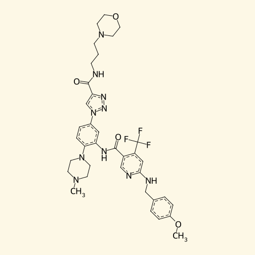 COc1ccc(CNc2cc(C(F)(F)F)c(C(=O)Nc3cc(-n4cc(C(=O)NCCCN5CCOCC5)nn4)ccc3N3CCN(C)CC3)cn2)cc1